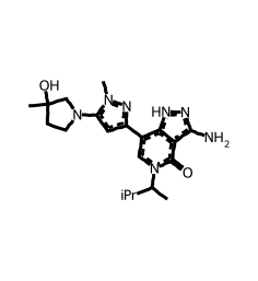 CC(C)C(C)n1cc(-c2cc(N3CCC(C)(O)C3)n(C)n2)c2[nH]nc(N)c2c1=O